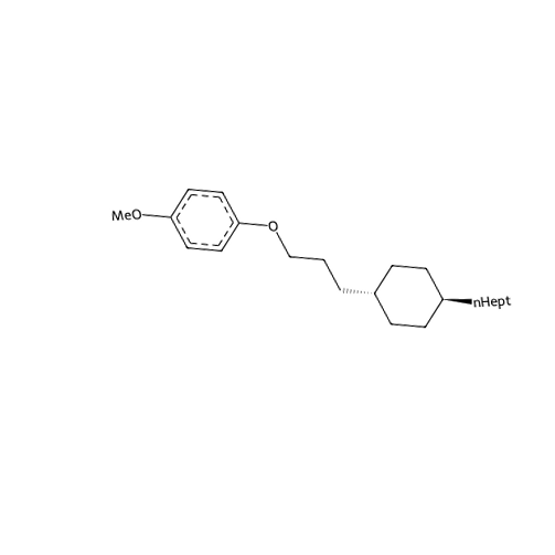 CCCCCCC[C@H]1CC[C@H](CCCOc2ccc(OC)cc2)CC1